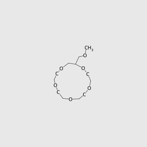 COCC1COCCOCCOCCOCCO1